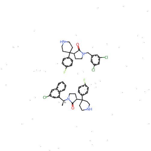 C[C@@H](c1cc(Cl)cc2ccccc12)N1CCC(C2(c3ccc(F)cc3)CCNCC2)C1=O.O=C1C(C2(c3ccc(F)cc3)CCNCC2)CCN1Cc1cc(Cl)cc(Cl)c1